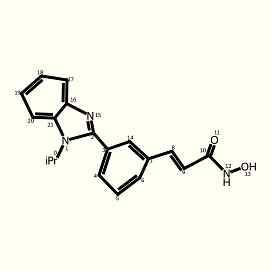 CC(C)n1c(-c2cccc(/C=C/C(=O)NO)c2)nc2ccccc21